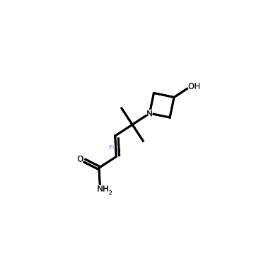 CC(C)(/C=C/C(N)=O)N1CC(O)C1